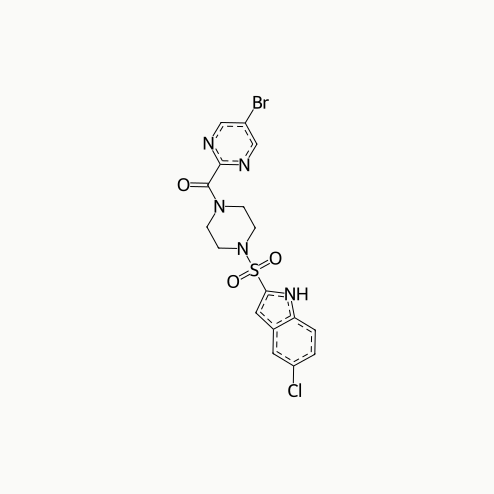 O=C(c1ncc(Br)cn1)N1CCN(S(=O)(=O)c2cc3cc(Cl)ccc3[nH]2)CC1